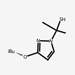 CC[C@@H](C)Oc1ccn(C(C)(C)S)n1